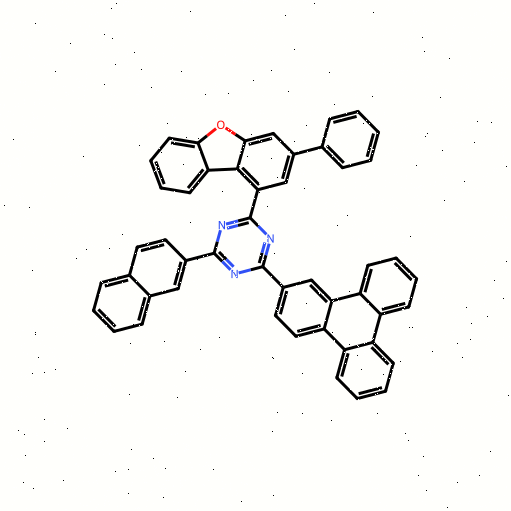 c1ccc(-c2cc(-c3nc(-c4ccc5ccccc5c4)nc(-c4ccc5c6ccccc6c6ccccc6c5c4)n3)c3c(c2)oc2ccccc23)cc1